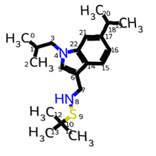 CC(C)Cn1cc(CNSC(C)(C)C)c2ccc(C(C)C)cc21